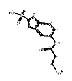 NS(=O)(=O)c1nc2cc(OC(=O)CCC(=O)O)ccc2s1